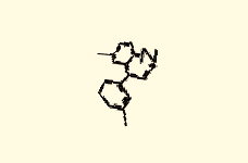 Cc1cccc(-c2ccnc3ccc(C)cc23)c1